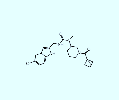 CN(C(=O)NCC1=CC2CC(Cl)=CC=C2N1)[C@@H]1CCCN(C(=O)C23CC(C2)C3)C1